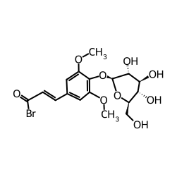 COc1cc(/C=C/C(=O)Br)cc(OC)c1O[C@@H]1O[C@H](CO)[C@@H](O)[C@H](O)[C@H]1O